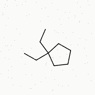 CCC1(CC)CCCC1